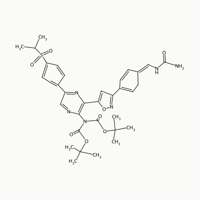 CC(C)S(=O)(=O)c1ccc(-c2cnc(N(C(=O)OC(C)(C)C)C(=O)OC(C)(C)C)c(-c3cc(C4=CCC(=CNC(N)=O)C=C4)no3)n2)cc1